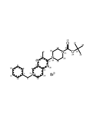 Cc1nc2c[n+](Cc3ccccc3)ccc2nc1N1CCN(C(=O)OC(C)(C)C)CC1.[Br-]